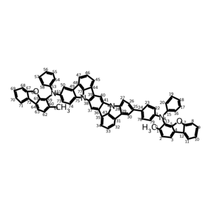 Cc1ccc2c(oc3ccccc32)c1N(c1ccccc1)c1ccc(-c2ccc3c(c2)c2cccc4c5cc6c(cc5n3c24)c2cccc3c4cc(N(c5ccccc5)c5c(C)ccc7c5oc5ccccc57)ccc4n6c32)cc1